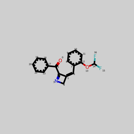 O=C(C1=NCC1=Cc1ccccc1OC(F)F)c1ccccc1